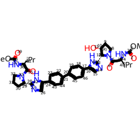 COC(=O)N[C@H](C(=O)N1CC[C@@H](O)[C@H]1c1ncc(-c2ccc(-c3ccc(-c4cnc([C@@H]5CCCN5C(=O)[C@@H](NC(=O)OC)C(C)C)[nH]4)cc3)cc2)[nH]1)C(C)C